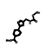 COC(=O)c1ccc(-c2ncc(CNC(=O)OC(C)(C)C)s2)cc1